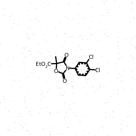 CCOC(=O)C1(C)OC(=O)N(c2ccc(Cl)c(Cl)c2)C1=O